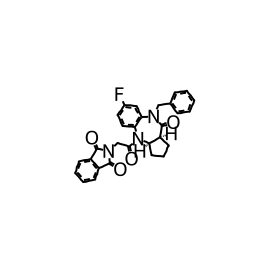 O=C1c2ccccc2C(=O)N1CC(=O)N1c2ccc(F)cc2N(Cc2ccccc2)C(=O)[C@H]2CCC[C@H]21